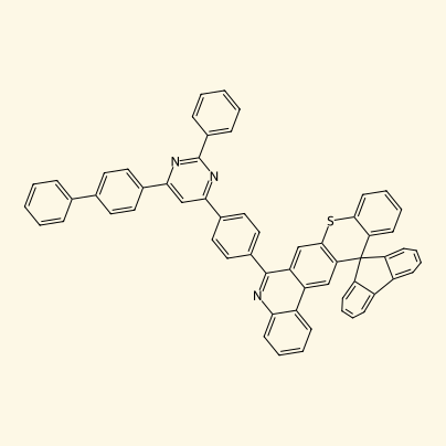 c1ccc(-c2ccc(-c3cc(-c4ccc(-c5nc6ccccc6c6cc7c(cc56)Sc5ccccc5C75c6ccccc6-c6ccccc65)cc4)nc(-c4ccccc4)n3)cc2)cc1